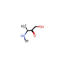 CC(C)N[C@@H](C)C(=O)CO